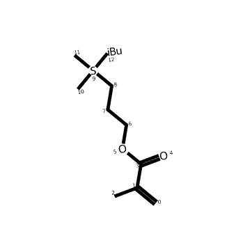 C=C(C)C(=O)OCCCS(C)(C)C(C)CC